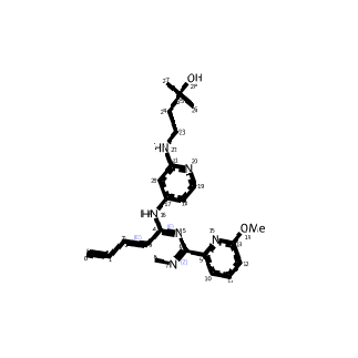 C=C/C=C/C(=N\C(=N/C)c1cccc(OC)n1)Nc1ccnc(NCCC(C)(C)O)c1